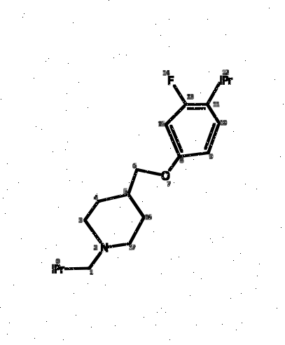 CC(C)CN1CCC(COc2ccc(C(C)C)c(F)c2)CC1